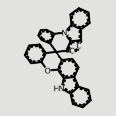 c1ccc2c(c1)Oc1c(ccc3c1[nH]c1ccccc13)C21c2ccccc2-n2c3ccccc3c3cccc1c32